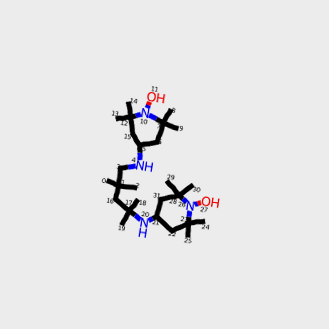 CC(C)(CNC1CC(C)(C)N(O)C(C)(C)C1)CC(C)(C)NC1CC(C)(C)N(O)C(C)(C)C1